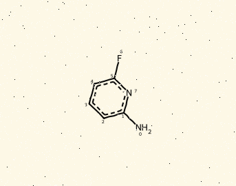 Nc1cc[c]c(F)n1